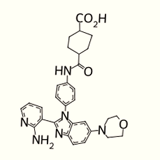 Nc1ncccc1-c1nc2ccc(N3CCOCC3)cc2n1-c1ccc(NC(=O)C2CCC(C(=O)O)CC2)cc1